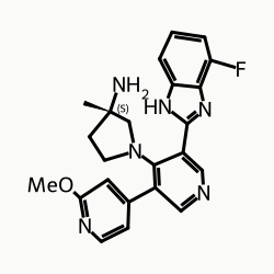 COc1cc(-c2cncc(-c3nc4c(F)cccc4[nH]3)c2N2CC[C@](C)(N)C2)ccn1